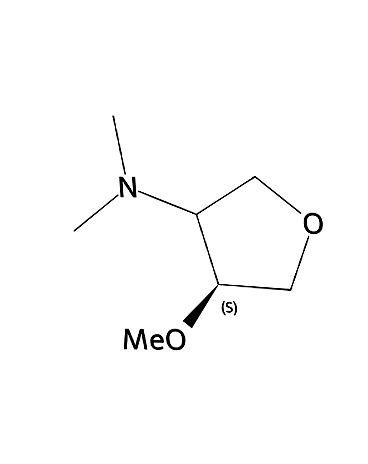 CO[C@@H]1COCC1N(C)C